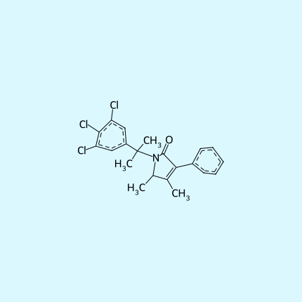 CC1=C(c2ccccc2)C(=O)N(C(C)(C)c2cc(Cl)c(Cl)c(Cl)c2)C1C